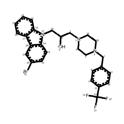 OC(CN1CCN(Cc2ccc(C(F)(F)F)cc2)CC1)Cn1c2ccccc2c2cc(Br)ccc21